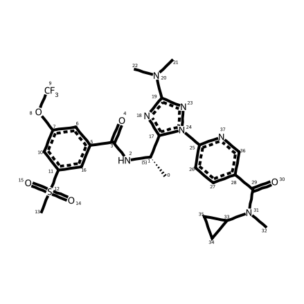 C[C@H](NC(=O)c1cc(OC(F)(F)F)cc(S(C)(=O)=O)c1)c1nc(N(C)C)nn1-c1ccc(C(=O)N(C)C2CC2)cn1